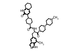 Cc1cc(C[C@@H](NC(=O)N2CCC(c3cc4c([nH]c3=O)CCCC4)CC2)C(=O)N2CCN(C3CCN(C)CC3)CC2)cc2cn[nH]c12